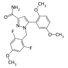 COc1cc(F)c(Cn2nc(C(N)=O)cc2-c2cc(OC)ccc2OC)c(F)c1